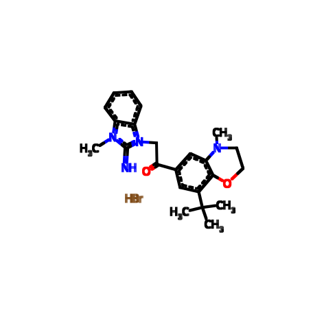 Br.CN1CCOc2c1cc(C(=O)Cn1c(=N)n(C)c3ccccc31)cc2C(C)(C)C